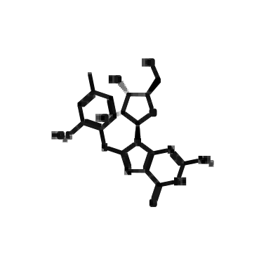 Cc1ccc(Sc2nc3c(=O)[nH]c(N)nc3n2[C@@H]2O[C@H](CO)[C@@H](O)[C@H]2O)c(C(=O)O)c1